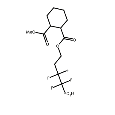 COC(=O)C1CCCCC1C(=O)OCCC(F)(F)C(F)(F)S(=O)(=O)O